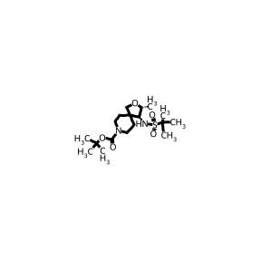 C[C@H]1OCC2(CCN(C(=O)OC(C)(C)C)CC2)[C@@H]1NS(=O)(=O)C(C)(C)C